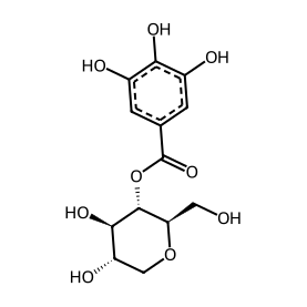 O=C(O[C@H]1[C@H](O)[C@@H](O)CO[C@@H]1CO)c1cc(O)c(O)c(O)c1